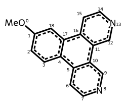 COc1ccc2c3ccncc3c3cnccc3c2c1